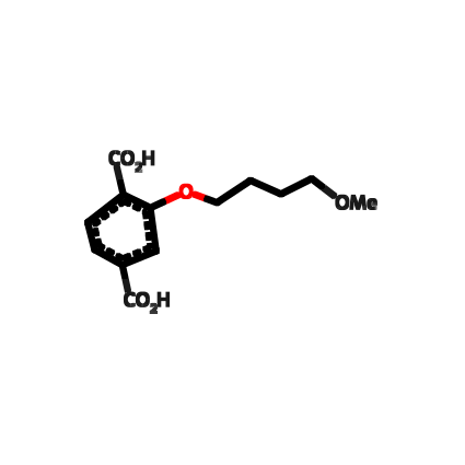 COCCCCOc1cc(C(=O)O)ccc1C(=O)O